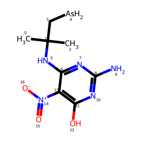 CC(C)(C[AsH2])Nc1nc(N)nc(O)c1[N+](=O)[O-]